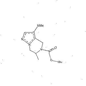 CNc1cnn2c1CN(C(=O)OC(C)(C)C)C(C)C2